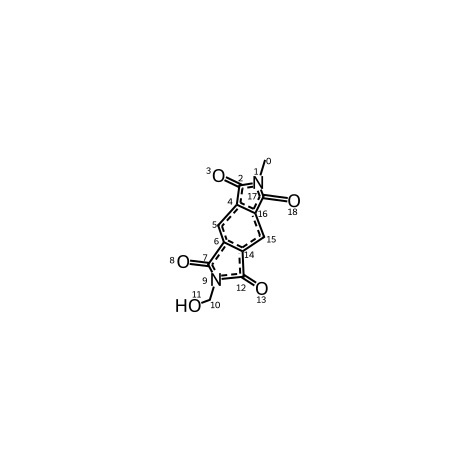 Cn1c(=O)c2cc3c(=O)n(CO)c(=O)c3cc2c1=O